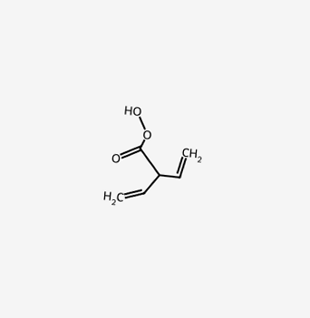 C=CC(C=C)C(=O)OO